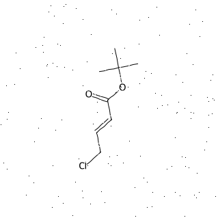 CC(C)(C)OC(=O)/C=C/CCl